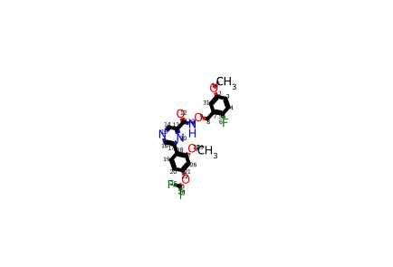 COc1ccc(F)c(CONC(=O)c2cncc(-c3ccc(OC(F)F)cc3OC)n2)c1